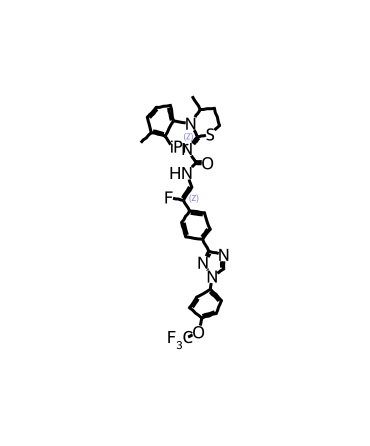 Cc1cccc(N2/C(=N/C(=O)N/C=C(\F)c3ccc(-c4ncn(-c5ccc(OC(F)(F)F)cc5)n4)cc3)SCCC2C)c1C(C)C